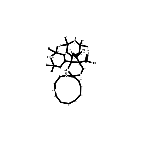 CC1(C)CC(C2(C3CC(C)(C)NC(C)(C)C3)OC3(CCCCCCCCCCC3)OCC2(C(=O)O)C(=O)O)CC(C)(C)N1